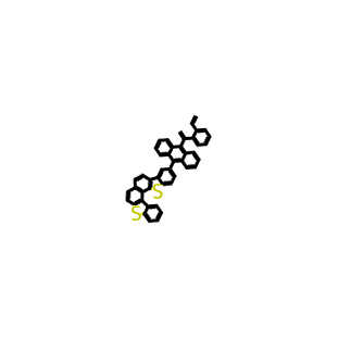 C=Cc1ccccc1C(=C)c1c2ccccc2c(-c2ccc3sc4c(ccc5ccc6sc7ccccc7c6c54)c3c2)c2ccccc12